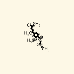 C=C/C(Cl)=C\C=C(/C)c1ccc(C(=O)NCC(=O)OCC)c(OC)c1